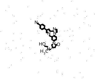 CN(CCO)C[C@H]1CC(=O)N(c2ccc3c(c2)Cn2cc(-c4ccc(C#N)cc4)cc2-c2nccn2-3)C1